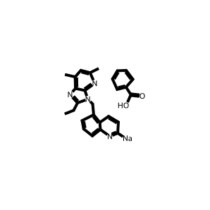 CCc1nc2c(C)cc(C)nc2n1Cc1cccc2n[c]([Na])ccc12.O=C(O)c1ccccc1